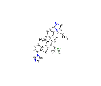 CCC[C]1([Zr](=[SiH2])[CH]2C=Cc3c2cccc3-n2ccnc2)C=Cc2c1cccc2[N+]1(CCC)C=CN=C1.[Cl-].[Cl-]